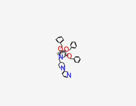 C[C@@H]1[C@@H](OCc2ccccc2)[C@H](OCc2ccccc2)[C@@H](OCc2ccccc2)CN1CC1CCN(c2cccnc2)CC1